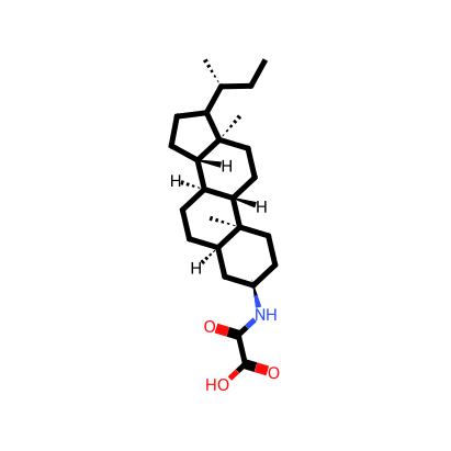 CC[C@@H](C)C1CC[C@H]2[C@@H]3CC[C@@H]4C[C@H](NC(=O)C(=O)O)CC[C@]4(C)[C@H]3CC[C@]12C